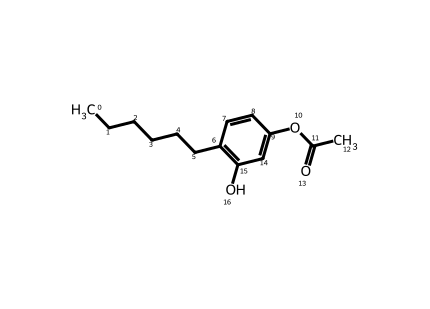 CCCCCCc1ccc(OC(C)=O)cc1O